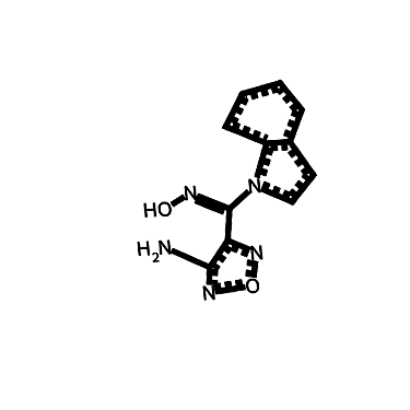 Nc1nonc1C(=NO)n1ccc2ccccc21